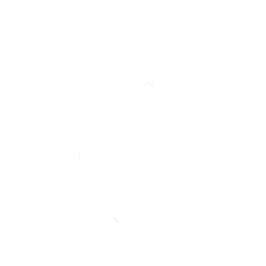 C=C1/C=C\C=C/CN(C)c2ccc(-c3ccc(-n4c5ccccc5c5ccccc54)cc3)cc21